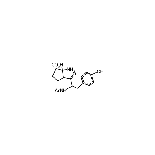 CC(=O)NC(Cc1ccc(O)cc1)C(=O)C1CCCC1(N)C(=O)O